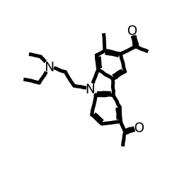 CCN(CC)CCn1c2ccc(C(C)=O)cc2c2cc(C(C)=O)c(C)cc21